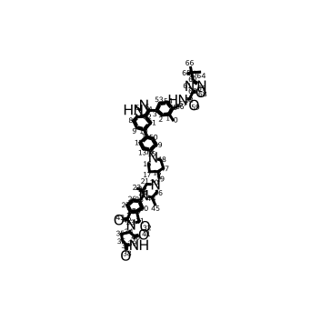 Cc1cc(-c2n[nH]c3ccc(-c4ccc(N5CCC(CN6CC(C)N(c7ccc8c(c7)C(=O)N(C7CCC(=O)NC7=O)C8=O)C(C)C6)CC5)cc4)cc23)ccc1CNC(=O)c1nc(C(C)(C)C)no1